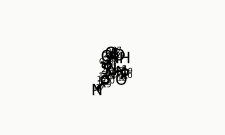 Cc1sc(N(CCN2CCCC2=O)c2ccc(C#N)cc2)nc1C(=O)NS(C)(=O)=O